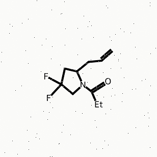 C=CCC1CC(F)(F)CN1C(=O)CC